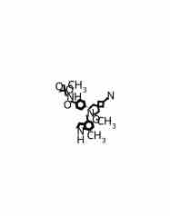 COc1cc(C)c2[nH]ccc2c1CN1CCC2(CC(C#N)C2)C[C@H]1c1ccc(C(=O)NCC2(OC)COC2)cc1